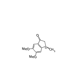 COc1cc2c(cc1OC)[C@H](C)CC2=O